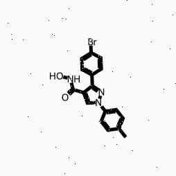 Cc1ccc(-n2cc(C(=O)NO)c(-c3ccc(Br)cc3)n2)cc1